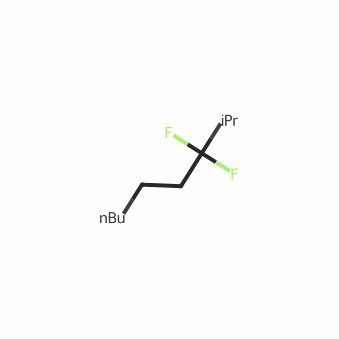 CCCCCCC(F)(F)C(C)C